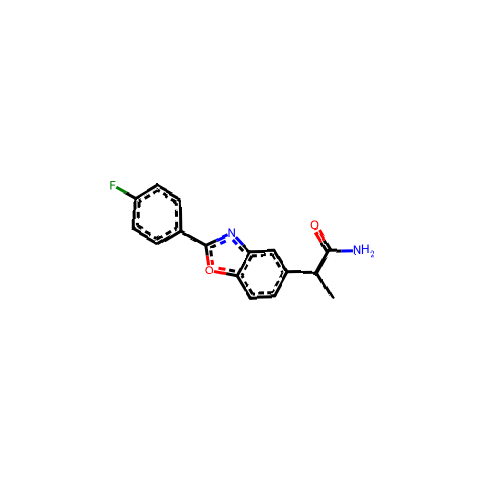 CC(C(N)=O)c1ccc2oc(-c3ccc(F)cc3)nc2c1